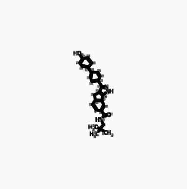 CC(C)(C)CNC(=O)c1ccc2c(c1)-c1[nH]nc(-c3ccc(-c4ccc(O)cc4)cc3)c1C2